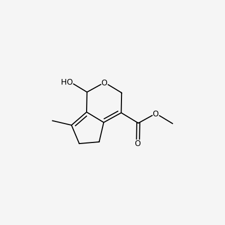 COC(=O)C1=C2CCC(C)=C2C(O)OC1